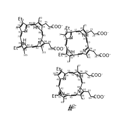 CCC1=C(C)c2cc3[nH]c(cc4nc(cc5[nH]c(cc1n2)c(C)c5CCC(=O)[O-])C(CCC(=O)[O-])=C4C)c(C)c3CC.CCC1=C(C)c2cc3[nH]c(cc4nc(cc5[nH]c(cc1n2)c(C)c5CCC(=O)[O-])C(CCC(=O)[O-])=C4C)c(C)c3CC.CCC1=C(C)c2cc3[nH]c(cc4nc(cc5[nH]c(cc1n2)c(C)c5CCC(=O)[O-])C(CCC(=O)[O-])=C4C)c(C)c3CC.[Al+3].[Al+3]